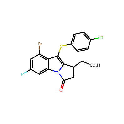 O=C(O)CC1CC(=O)n2c1c(Sc1ccc(Cl)cc1)c1c(Br)cc(F)cc12